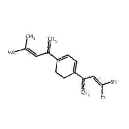 C=C(/C=C(\C)S)C1=CC=C(C(=C)/C=C(/S)CC)CC1